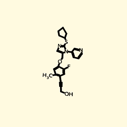 Cc1cc(OCc2cnc(SC3CCCC3)n2-c2cccnc2)c(F)cc1C#CCO